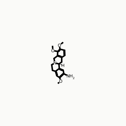 COc1cc2c(cc1N)[C@@H]1Cc3ccc(OC)c(OC)c3CN1CC2